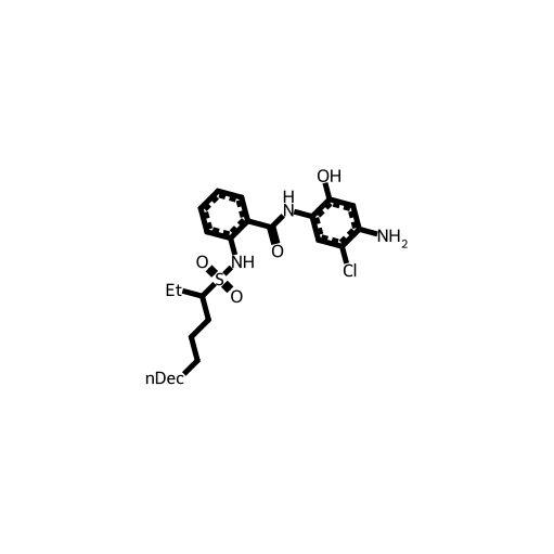 CCCCCCCCCCCCCC(CC)S(=O)(=O)Nc1ccccc1C(=O)Nc1cc(Cl)c(N)cc1O